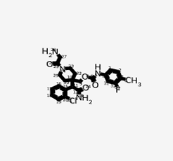 Cc1ccc(NC(=O)OCC2(C(C(N)=O)c3ccccc3Cl)CCN(C(=O)CN)CC2)cc1F